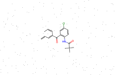 C=C/C=C(\C=C/C)C(=O)c1cc(Cl)ccc1NC(=O)C(C)(C)C